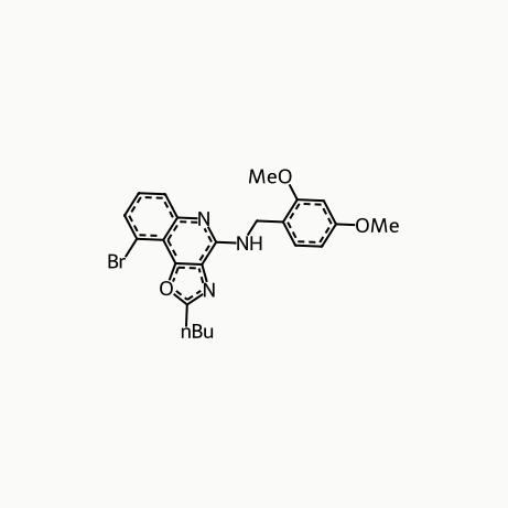 CCCCc1nc2c(NCc3ccc(OC)cc3OC)nc3cccc(Br)c3c2o1